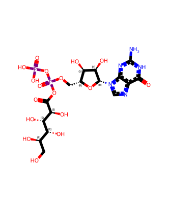 Nc1nc2c(ncn2[C@@H]2O[C@H](COP(=O)(OC(=O)[C@@H](O)[C@@H](O)[C@H](O)[C@H](O)CO)OP(=O)(O)O)[C@@H](O)[C@H]2O)c(=O)[nH]1